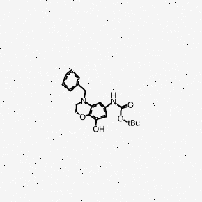 CC(C)(C)OC(=O)Nc1cc(O)c2c(c1)N(Cc1ccccc1)CCO2